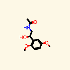 COc1ccc(OC)c(C(O)CNC(C)=O)c1